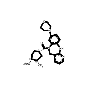 CO[C@@H]1CC[C@H](C(=O)N2Cc3cccnc3Nc3ccc(N4CCOCC4)cc32)C[C@@H]1C(F)(F)F